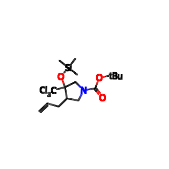 C=CCC1CN(C(=O)OC(C)(C)C)CC1(O[Si](C)(C)C)C(Cl)(Cl)Cl